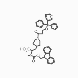 CN(C(=O)OCC1c2ccccc2-c2ccccc21)C(CC1CCN(C(=O)CCOC(c2ccccc2)(c2ccccc2)c2ccccc2)CC1)C(=O)O